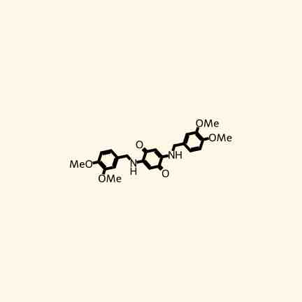 COc1ccc(CNC2=CC(=O)C(NCc3ccc(OC)c(OC)c3)=CC2=O)cc1OC